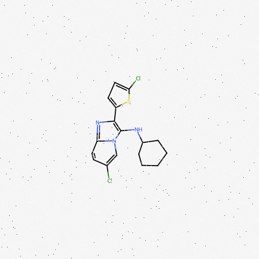 Clc1ccc2nc(-c3ccc(Cl)s3)c(NC3CCCCC3)n2c1